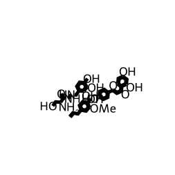 C=CCc1ccc(O)c(OC)c1.NC(CO)C(=O)NNCc1ccc(O)c(O)c1O.O=c1cc(-c2ccc(O)cc2)oc2cc(O)cc(O)c12